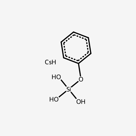 O[Si](O)(O)Oc1ccccc1.[CsH]